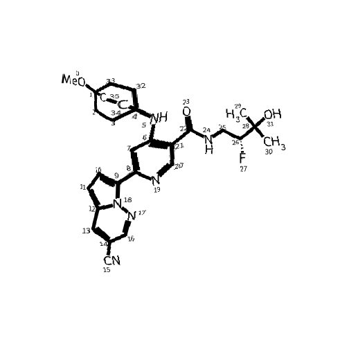 COC12CCC(Nc3cc(-c4ccc5cc(C#N)cnn45)ncc3C(=O)NC[C@@H](F)C(C)(C)O)(CC1)CC2